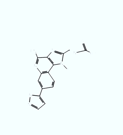 CCCC(=O)NCc1nc2c(N)nc3cc(-c4ccn[nH]4)ccc3c2n1CC